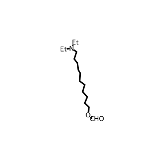 CCN(CC)CCCCCCCCCCCO[C]=O